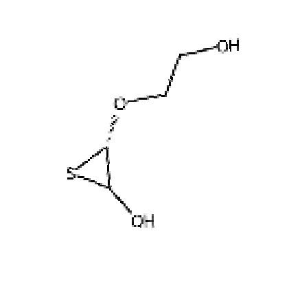 OCCO[C@H]1SC1O